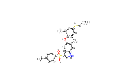 Cc1ccc(S(=O)(=O)c2c[nH]c3ccc(Oc4c(C(F)(F)F)cc(SCC(=O)O)cc4C(F)(F)F)cc23)cc1